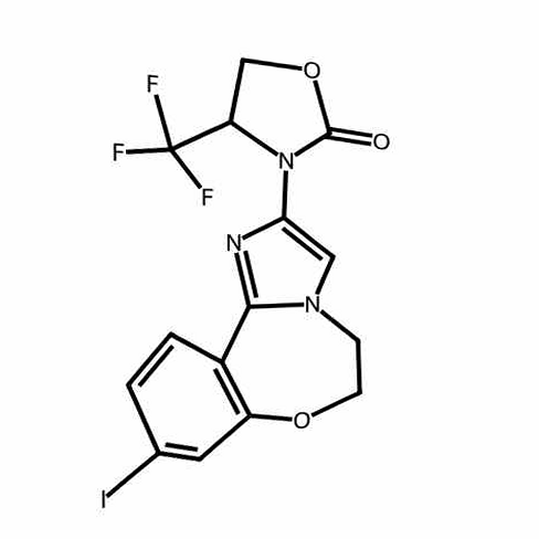 O=C1OCC(C(F)(F)F)N1c1cn2c(n1)-c1ccc(I)cc1OCC2